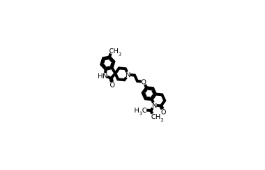 Cc1ccc2c(c1)C1(CCN(CCOc3ccc4c(c3)CCC(=O)N4C(C)C)CC1)C(=O)N2